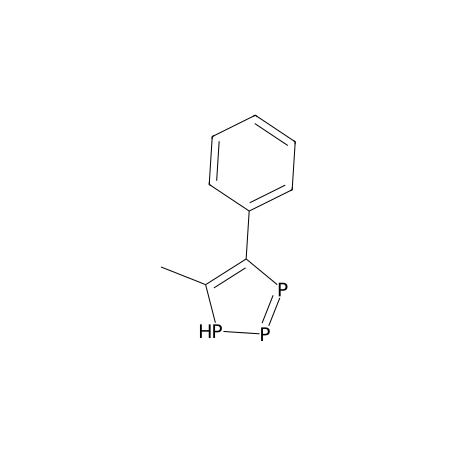 Cc1[pH]ppc1-c1ccccc1